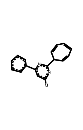 Clc1cc(-c2ccccc2)nc(C2C=CC=CC=C2)n1